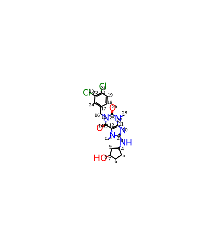 Cn1c(NC2CCC(O)C2)nc2c1c(=O)n(Cc1ccc(Cl)c(Cl)c1)c(=O)n2C